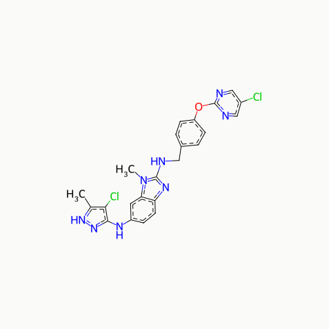 Cc1[nH]nc(Nc2ccc3nc(NCc4ccc(Oc5ncc(Cl)cn5)cc4)n(C)c3c2)c1Cl